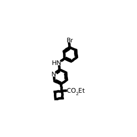 CCOC(=O)C1(c2ccc(Nc3cccc(Br)c3)nc2)CCC1